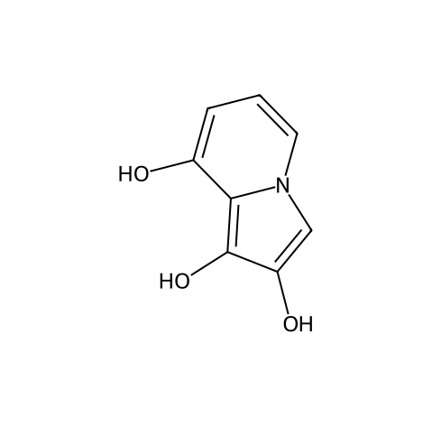 Oc1cn2cccc(O)c2c1O